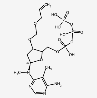 C=CCOCOC1C[C@H](N(C)c2ncnc(N)c2C)OC1COP(=O)(O)OP(=O)(O)OP(=O)(O)O